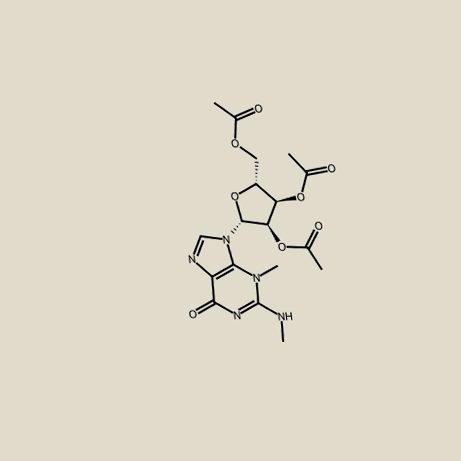 CNc1nc(=O)c2ncn([C@@H]3O[C@H](COC(C)=O)[C@@H](OC(C)=O)[C@H]3OC(C)=O)c2n1C